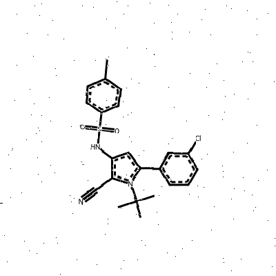 Cc1ccc(S(=O)(=O)Nc2cc(-c3cccc(Cl)c3)n(C(C)(C)C)c2C#N)cc1